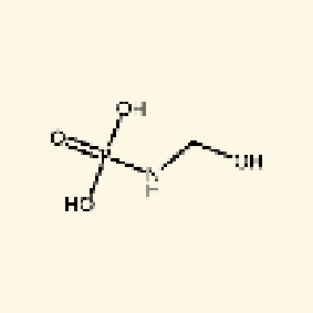 O=P(O)(O)NCO